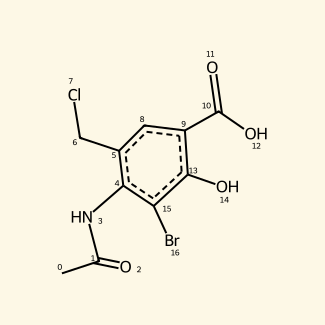 CC(=O)Nc1c(CCl)cc(C(=O)O)c(O)c1Br